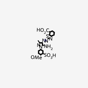 COc1ccc(-n2nc(C)c(/N=N/c3nc4cccc(C(=O)O)c4s3)c2N)cc1S(=O)(=O)O